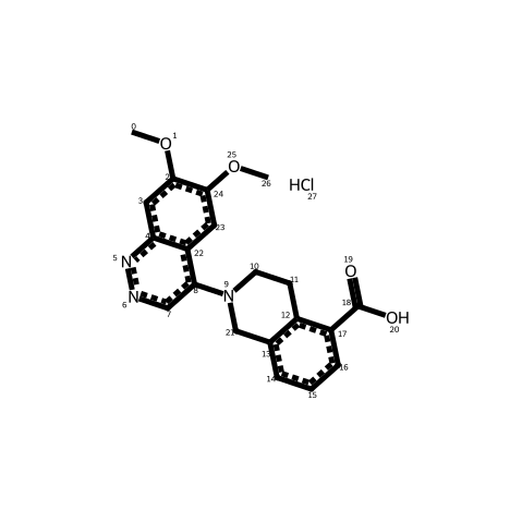 COc1cc2nncc(N3CCc4c(cccc4C(=O)O)C3)c2cc1OC.Cl